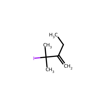 C=C(CC)C(C)(C)I